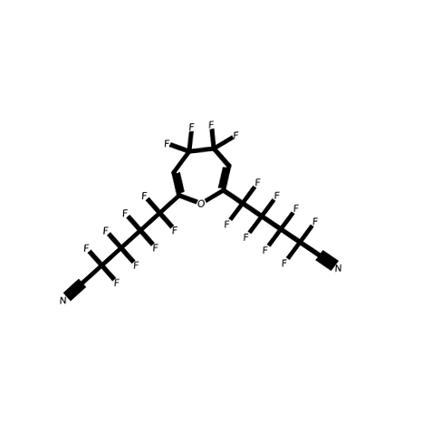 N#CC(F)(F)C(F)(F)C(F)(F)C(F)(F)C1=CC(F)(F)C(F)(F)C=C(C(F)(F)C(F)(F)C(F)(F)C(F)(F)C#N)O1